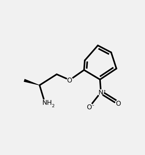 C[C@H](N)COc1ccccc1[N+](=O)[O-]